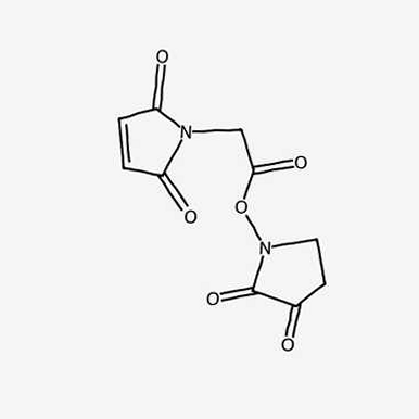 O=C(CN1C(=O)C=CC1=O)ON1CCC(=O)C1=O